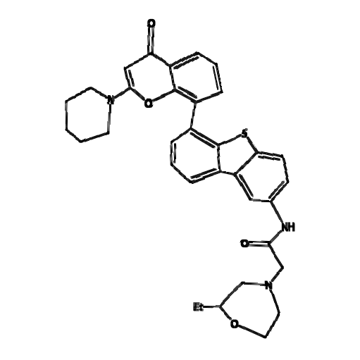 CCC1CN(CC(=O)Nc2ccc3sc4c(-c5cccc6c(=O)cc(N7CCCCC7)oc56)cccc4c3c2)CCO1